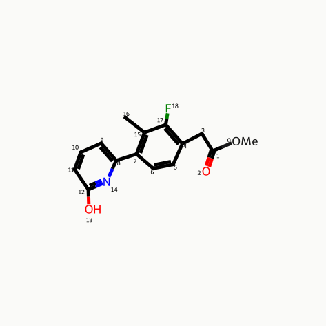 COC(=O)Cc1ccc(-c2cccc(O)n2)c(C)c1F